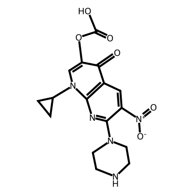 O=C(O)Oc1cn(C2CC2)c2nc(N3CCNCC3)c([N+](=O)[O-])cc2c1=O